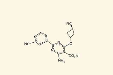 N#Cc1cccc(-c2nc(N)c(C(=O)O)c(O[C@H]3C[C@H](C#N)C3)n2)c1